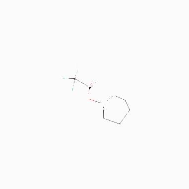 O=C(O[SiH]1CCCCC1)C(F)(F)F